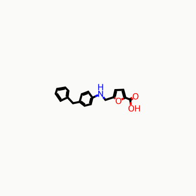 O=C(O)c1ccc(CNc2ccc(Cc3ccccc3)cc2)o1